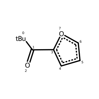 CC(C)(C)C(=O)c1ccco1